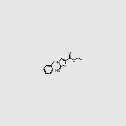 CCOC(=O)c1cn(Cc2ccccc2)c(=N)s1